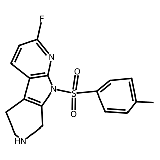 Cc1ccc(S(=O)(=O)n2c3c(c4ccc(F)nc42)CCNC3)cc1